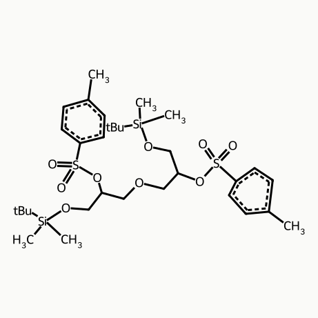 Cc1ccc(S(=O)(=O)OC(COCC(CO[Si](C)(C)C(C)(C)C)OS(=O)(=O)c2ccc(C)cc2)CO[Si](C)(C)C(C)(C)C)cc1